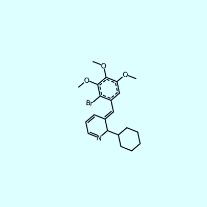 COc1cc(C=C2C=CC=NC2C2CCCCC2)c(Br)c(OC)c1OC